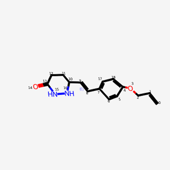 C=CCOc1ccc(/C=C/C2CCC(=O)NN2)cc1